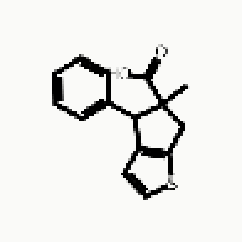 CC1(C(=O)O)Cc2sccc2C1c1ccccc1